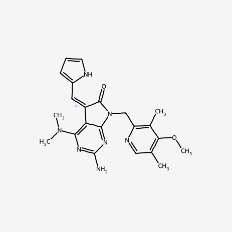 COc1c(C)cnc(CN2C(=O)/C(=C\c3ccc[nH]3)c3c(N(C)C)nc(N)nc32)c1C